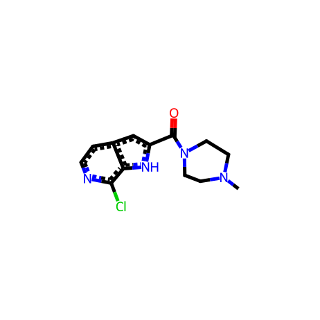 CN1CCN(C(=O)c2cc3ccnc(Cl)c3[nH]2)CC1